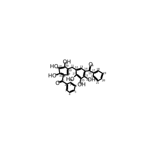 O=C(c1ccccc1)c1cc(Cc2cc(C(=O)c3ccccc3)c(O)c(O)c2O)c(O)c(O)c1O